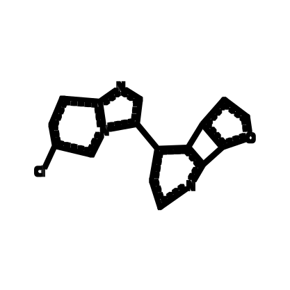 Clc1ccc2ncc(-c3ccnc4c3-c3ccoc3-4)n2c1